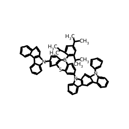 CC(C)c1cc(C(C)C)c(B2c3ccc(-n4c5ccccc5c5cc6c7ccccc7n(-c7ccccc7)c6cc54)cc3Sc3cc(-n4c5ccccc5c5c6ccccc6ccc54)ccc32)c(C(C)C)c1